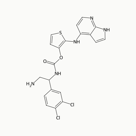 NCC(NC(=O)Oc1ccsc1Nc1ccnc2[nH]ccc12)c1ccc(Cl)c(Cl)c1